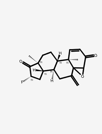 C=C1C[C@H]2[C@@H]3C[C@H](F)C(=O)[C@@]3(C)CC[C@@H]2[C@@]2(C)C=CC(=O)C3OC132